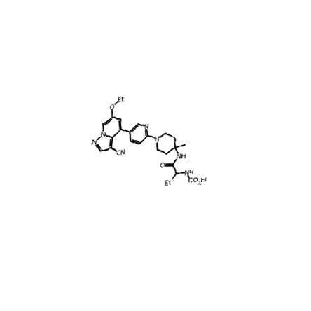 CCOc1cc(-c2ccc(N3CCC(C)(NC(=O)C(CC)NC(=O)O)CC3)nc2)c2c(C#N)cnn2c1